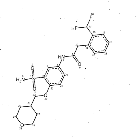 NS(=O)(=O)c1cc(NC(=O)Cc2ccccc2C(F)F)ccc1OCC1CCOCC1